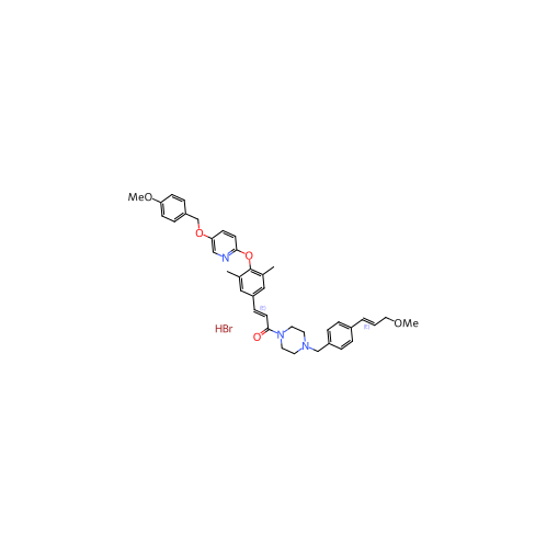 Br.COC/C=C/c1ccc(CN2CCN(C(=O)/C=C/c3cc(C)c(Oc4ccc(OCc5ccc(OC)cc5)cn4)c(C)c3)CC2)cc1